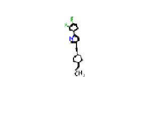 C/C=C/C1CCC(C#Cc2ccc(-c3ccc(F)c(F)c3)nc2)CC1